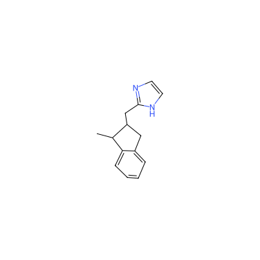 CC1c2ccccc2CC1Cc1ncc[nH]1